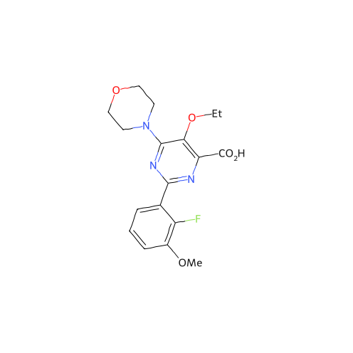 CCOc1c(C(=O)O)nc(-c2cccc(OC)c2F)nc1N1CCOCC1